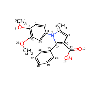 COc1ccc(-n2c(C)cc(C(=O)O)c2-c2ccccc2)cc1OC